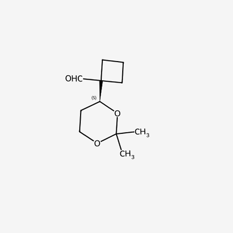 CC1(C)OCC[C@@H](C2(C=O)CCC2)O1